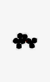 c1ccc(N(c2ccccc2)c2ccc(-n3c4ccccc4c4c3ccc3c5c(c6ccccc6n5-c5ccccc5)n(-c5ccccc5)c34)cc2)cc1